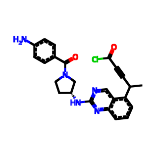 CC(C#CC(=O)Cl)c1cccc2nc(N[C@@H]3CCN(C(=O)c4ccc(N)cc4)C3)ncc12